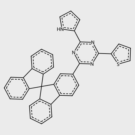 c1c[nH]c(-c2nc(-c3ccc4c(c3)C3(c5ccccc5-c5ccccc53)c3ccccc3-4)nc(-c3cccs3)n2)c1